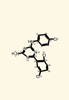 Nc1nc(Nc2ccc(Cl)cc2)nc(-c2cc(Cl)ccc2Cl)n1